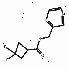 O=C(NCc1cnccn1)C1CC(F)(F)C1